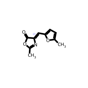 CC1=N/C(=C\c2ccc(C)o2)C(=O)O1